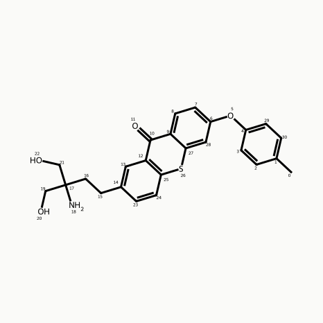 Cc1ccc(Oc2ccc3c(=O)c4cc(CCC(N)(CO)CO)ccc4sc3c2)cc1